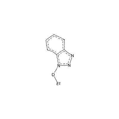 CCOn1nnc2ccccc21